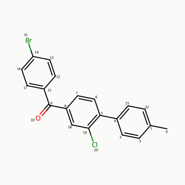 Cc1ccc(-c2ccc(C(=O)c3ccc(Br)cc3)cc2Cl)cc1